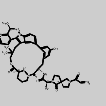 C=CC(=O)N1CC[C@@]2(CCN([C@H](C(=O)N[C@H]3Cc4cc(O)cc(c4)-c4ccc5c(c4)c(c(-c4cccnc4[C@H](C)OC)n5CC)CC(C)(C)COC(=O)[C@@]4(C)CCCN(N4)C3=O)C(C)C)C2=O)C1